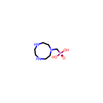 O=P(O)(O)CN1CCNCCNCC1